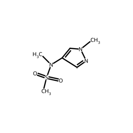 CN(c1[c]nn(C)c1)S(C)(=O)=O